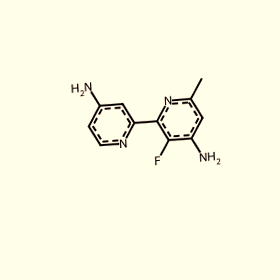 Cc1cc(N)c(F)c(-c2cc(N)ccn2)n1